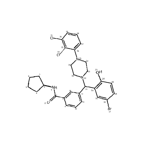 O=C(NC1CCCC1)c1cccc(C(c2cc(Br)ccc2O)N2CCN(c3cccc(Cl)c3Cl)CC2)c1